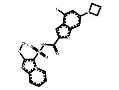 CSc1nc2ccccn2c1S(=O)(=O)NC(=O)c1cc2c(F)cc(N3CCC3)cc2o1